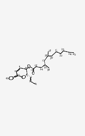 C/C=C/[C@@H]1OC(=O)C=C[C@H]1OC(=O)CCC(C)CC(C)CCCCCC